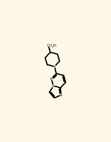 CCOC(=O)C1CCN(c2ccc3nccn3n2)CC1